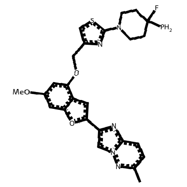 COc1cc(OCc2csc(N3CCC(F)(P)CC3)n2)c2cc(-c3cn4nc(C)ccc4n3)oc2c1